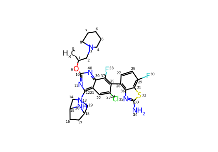 CC(CN1CCCCC1)Oc1nc(N2CC3CCC(C2)N3)c2cc(Cl)c(-c3ccc(F)c4sc(N)nc34)c(F)c2n1